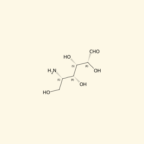 N[C@@H](CO)[C@@H](O)[C@H](O)[C@@H](O)C=O